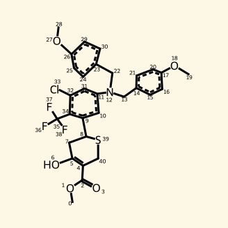 COC(=O)C1=C(O)CC(c2cc(N(Cc3ccc(OC)cc3)Cc3ccc(OC)cc3)cc(Cl)c2C(F)(F)F)SC1